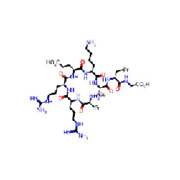 CCCC[C@H](NC(=O)[C@H](CCCCN)NC(=O)[C@H](CCC(=O)O)NC(=O)[C@H](CCCNC(=N)N)NC(=O)[C@H](CCCNC(=N)N)NC(=O)[C@@H](N)C(C)C)C(=O)N[C@@H](CC(C)C)C(=O)NCC(=O)O